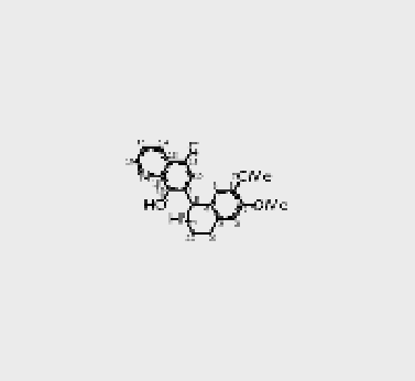 COc1cc2c(cc1OC)C(c1cc(Cl)c3cccnc3c1O)NCC2